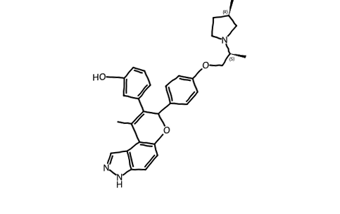 CC1=C(c2cccc(O)c2)C(c2ccc(OC[C@H](C)N3CC[C@@H](C)C3)cc2)Oc2ccc3[nH]ncc3c21